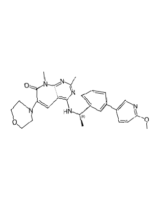 COc1ccc(-c2cccc([C@@H](C)Nc3nc(C)nc4c3cc(N3CCOCC3)c(=O)n4C)c2)cn1